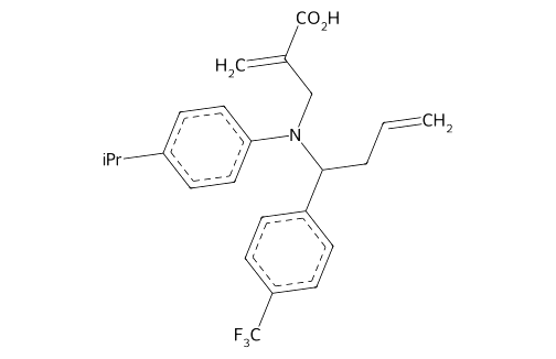 C=CCC(c1ccc(C(F)(F)F)cc1)N(CC(=C)C(=O)O)c1ccc(C(C)C)cc1